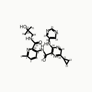 Cc1ccc(NC(=O)c2nc(C3CC3)cnc2Nc2cncnc2)c(C(=O)NCC(C)(C)O)n1